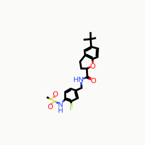 CC(C)(C)c1ccc2c(c1)CCC(C(=O)NCc1ccc(NS(C)(=O)=O)c(F)c1)O2